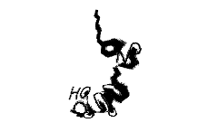 CCCCCCc1ccc(N2C(=O)CC[C@@H]2CCCc2ccc(C(=O)OC[C@H]3OC(C)(C)O[C@@H]3CO)s2)cc1